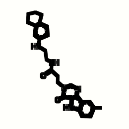 Cc1ccc2[nH]c3c(=O)n(CCC(=O)NCCNc4ccc5c(c4)CCCC5)cnc3c2c1